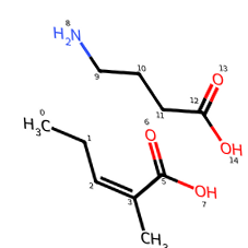 CCC=C(C)C(=O)O.NCCCC(=O)O